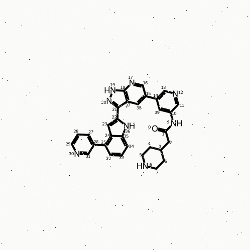 O=C(CC1CCNCC1)Nc1cncc(-c2cnc3[nH]nc(-c4cc5c(-c6cccnc6)cccc5[nH]4)c3c2)c1